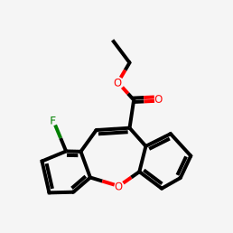 CCOC(=O)C1=Cc2c(F)cccc2Oc2ccccc21